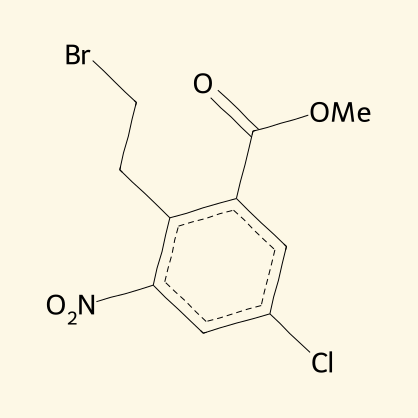 COC(=O)c1cc(Cl)cc([N+](=O)[O-])c1CCBr